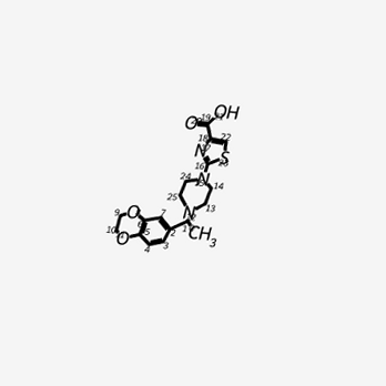 CC(c1ccc2c(c1)OCCO2)N1CCN(c2nc(C(=O)O)cs2)CC1